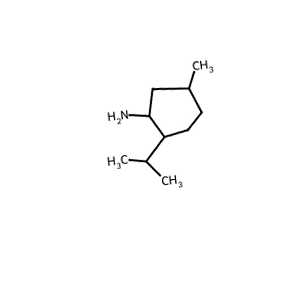 CC1CCC(C(C)C)C(N)C1